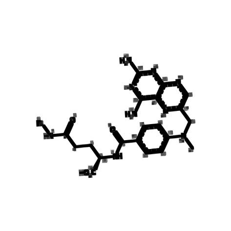 CCNC(=O)CC[C@@H](NC(=O)c1ccc(N(C)Cc2cnc3nc(N)nc(N)c3n2)cc1)C(=O)O